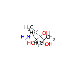 CCC(N)C(C)(O)C(C)(O)C(C)(C)O